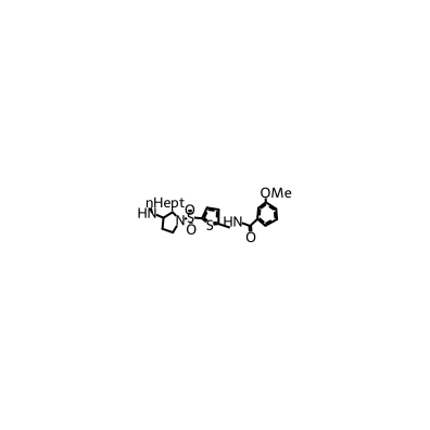 CCCCCCCNC1CCN(S(=O)(=O)c2ccc(CNC(=O)c3cccc(OC)c3)s2)C1